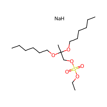 CCCCCCOC(C)(COS(=O)(=O)OCC)OCCCCCC.[NaH]